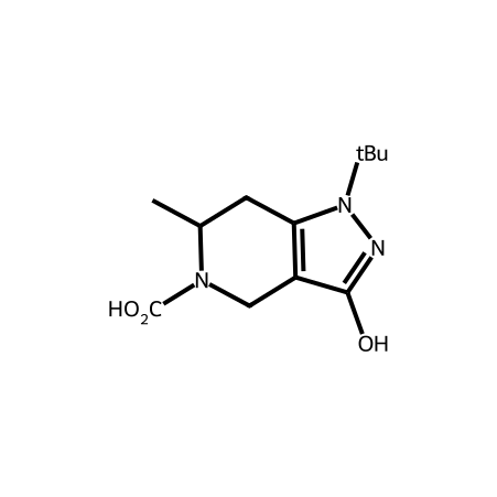 CC1Cc2c(c(O)nn2C(C)(C)C)CN1C(=O)O